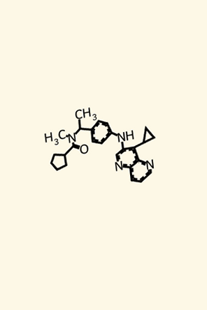 CC(c1ccc(Nc2cnc3cccnc3c2C2CC2)cc1)N(C)C(=O)C1CCCC1